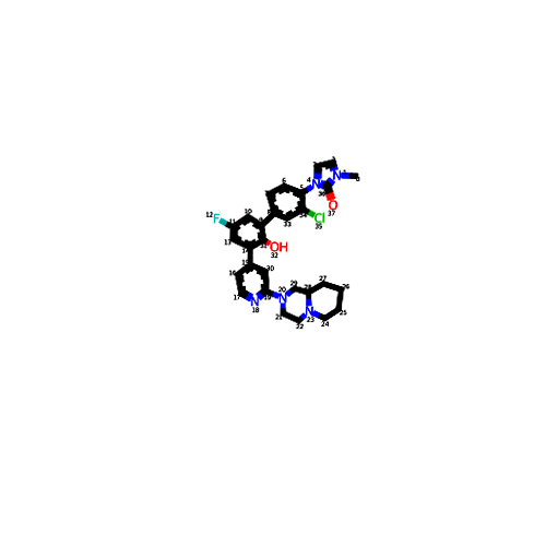 Cn1ccn(-c2ccc(-c3cc(F)cc(-c4ccnc(N5CCN6CCCCC6C5)c4)c3O)cc2Cl)c1=O